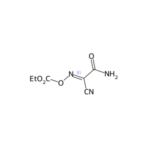 CCOC(=O)O/N=C(\C#N)C(N)=O